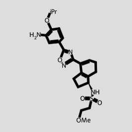 COCCS(=O)(=O)N[C@H]1CCC2=C1CCC=C2c1noc(-c2ccc(OC(C)C)c(N)c2)n1